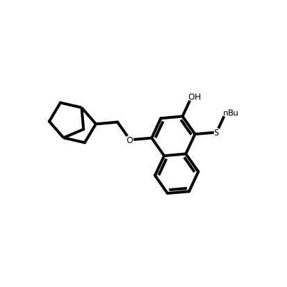 CCCCSc1c(O)cc(OCC2CC3CCC2C3)c2ccccc12